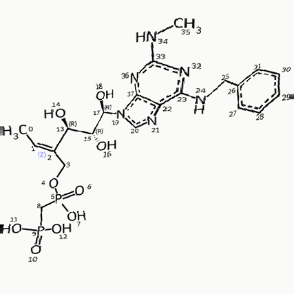 C/C=C(/COP(=O)(O)CP(=O)(O)O)[C@@H](O)[C@@H](O)[C@@H](O)n1cnc2c(NCc3ccccc3)nc(NC)nc21